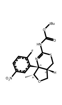 C[C@H]1OC[C@H]2CSC(NC(=O)OC(C)(C)C)=N[C@]21c1cc([N+](=O)[O-])ccc1F